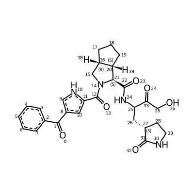 O=C(c1ccccc1)c1c[nH]c(C(=O)N2C[C@@H]3CCC[C@@H]3[C@H]2C(=O)NC(C[C@@H]2CCNC2=O)C(=O)CO)c1